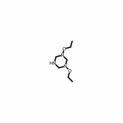 CCON1[CH]NCN(OCC)C1